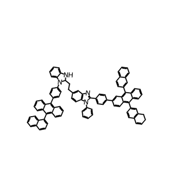 C1=Cc2ccc(-c3c4ccccc4c(-c4ccc5ccccc5c4)c4cc(-c5ccc(-c6nc7cc(CCC8Nc9ccccc9N8c8ccc(-c9c%10ccccc%10c(-c%10cccc%11ccccc%10%11)c%10ccccc9%10)cc8)ccc7n6-c6ccccc6)cc5)ccc34)cc2CC1